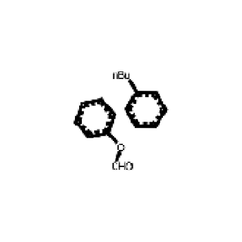 CCCCc1ccccc1.O=COc1ccccc1